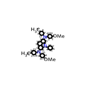 COc1ccc(N(c2ccc(C)cc2)c2cc3ccc4cc(N(c5ccc(C)cc5)c5ccc(OC)cc5)cc5c4c3c(c2)n5-c2ccccc2)cc1